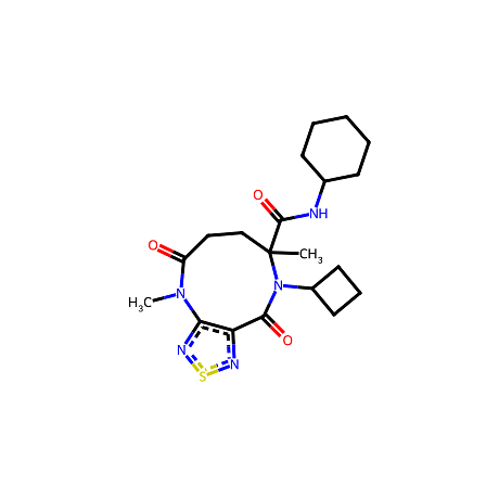 CN1C(=O)CCC(C)(C(=O)NC2CCCCC2)N(C2CCC2)C(=O)c2nsnc21